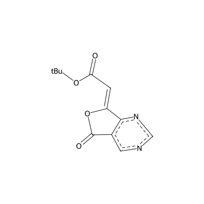 CC(C)(C)OC(=O)C=C1OC(=O)c2cncnc21